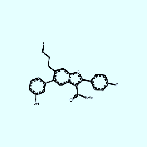 CNC(=O)c1c(-c2ccc(F)cc2)oc2cc(CCCF)c(-c3cccc(O)c3)cc12